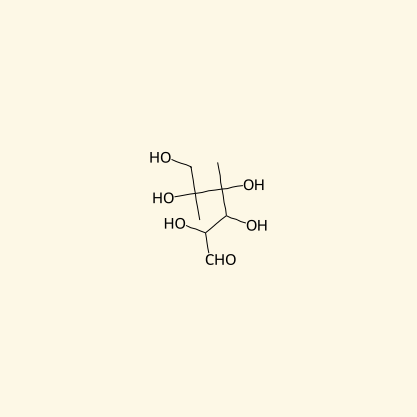 CC(O)(CO)C(C)(O)C(O)C(O)C=O